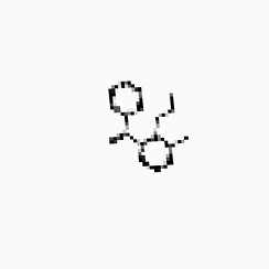 C=C(c1ccccc1)c1cccc(C)c1CCC